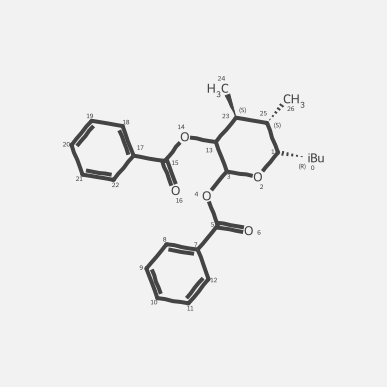 CC[C@@H](C)C1OC(OC(=O)c2ccccc2)C(OC(=O)c2ccccc2)[C@@H](C)[C@@H]1C